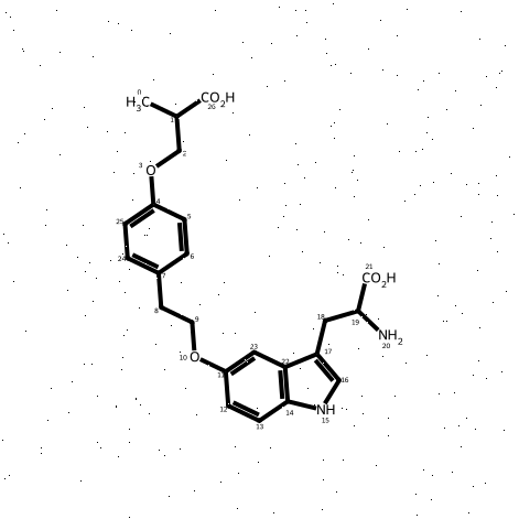 CC(COc1ccc(CCOc2ccc3[nH]cc(CC(N)C(=O)O)c3c2)cc1)C(=O)O